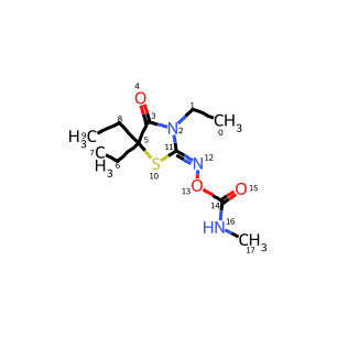 CCN1C(=O)C(CC)(CC)SC1=NOC(=O)NC